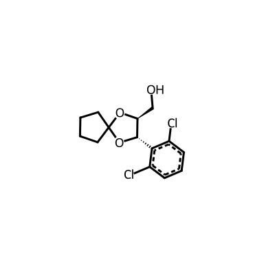 OC[C@@H]1OC2(CCCC2)O[C@H]1c1c(Cl)cccc1Cl